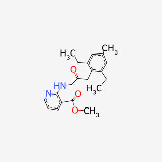 CCc1cc(C)cc(CC)c1CC(=O)CNc1ncccc1C(=O)OC